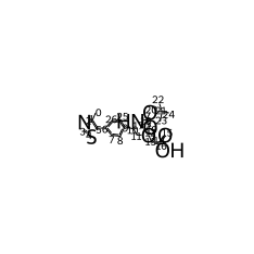 Cc1ncsc1-c1ccc(C(COCC(=O)O)NC(=O)OC(C)(C)C)cc1